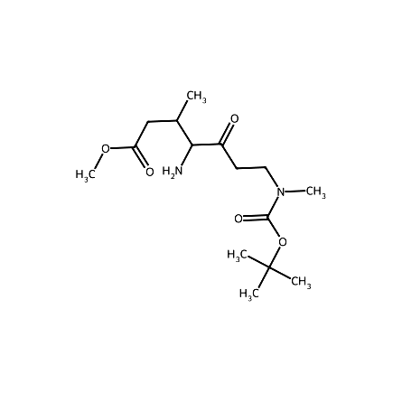 COC(=O)CC(C)C(N)C(=O)CCN(C)C(=O)OC(C)(C)C